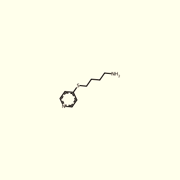 NCCCCSc1ccncc1